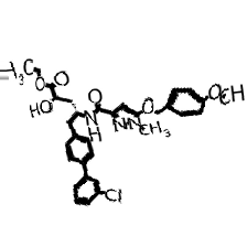 CCOC(=O)[C@H](O)C[C@@H](Cc1ccc(-c2cccc(Cl)c2)cc1)NC(=O)c1cc(OCc2ccc(OC)cc2)n(C)n1